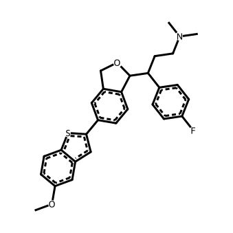 COc1ccc2sc(-c3ccc4c(c3)COC4C(CCN(C)C)c3ccc(F)cc3)cc2c1